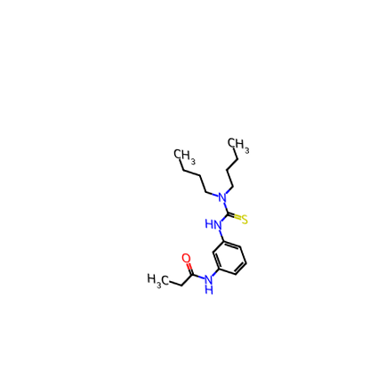 CCCCN(CCCC)C(=S)Nc1cccc(NC(=O)CC)c1